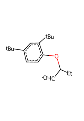 CCC([C]=O)Oc1ccc(C(C)(C)C)cc1C(C)(C)C